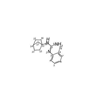 NC(=Nc1ccccc1I)NC12CCC(CC1)C2